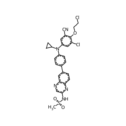 CS(=O)(=O)Nc1cnc2cc(-c3ccc(N(c4cc(Cl)c(OCCCl)c(C#N)c4)C4CC4)cc3)ccc2n1